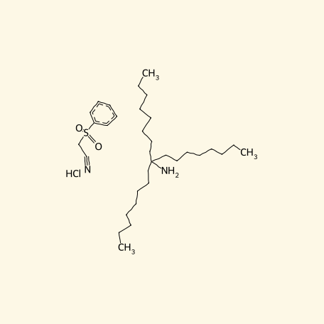 CCCCCCCCC(N)(CCCCCCCC)CCCCCCCC.Cl.N#CCS(=O)(=O)c1ccccc1